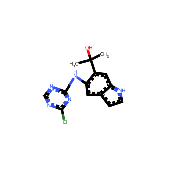 CC(C)(O)c1cc2[nH]ccc2cc1Nc1ncnc(Cl)n1